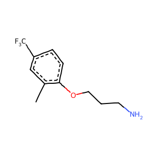 Cc1cc(C(F)(F)F)ccc1OCCCN